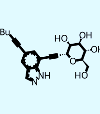 CC(C)(C)C#Cc1cc(C#C[C@H]2O[C@H](CO)[C@@H](O)[C@H](O)[C@@H]2O)c2[nH]ncc2c1